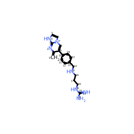 C=C1N=C2NC=CN2C=C1c1ccc(CNCCCNC(=N)N)cc1